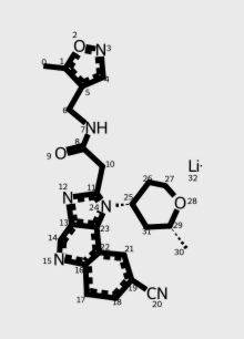 Cc1oncc1CNC(=O)Cc1nc2cnc3ccc(C#N)cc3c2n1[C@@H]1CCO[C@H](C)C1.[Li]